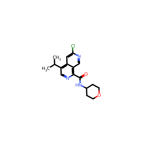 CC(C)c1cnc(C(=O)NC2CCOCC2)c2cnc(Cl)cc12